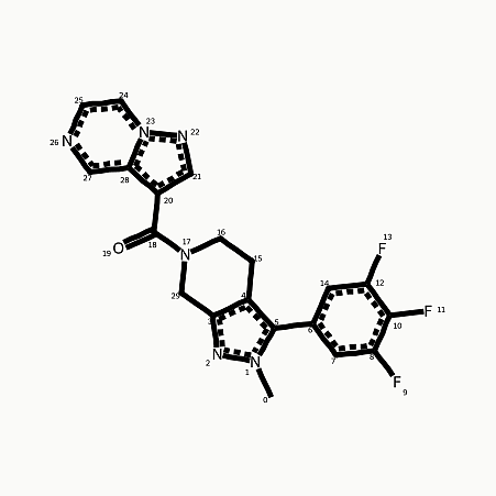 Cn1nc2c(c1-c1cc(F)c(F)c(F)c1)CCN(C(=O)c1cnn3ccncc13)C2